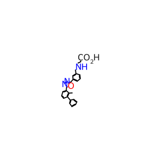 Cc1c(-c2ccccc2)cccc1-c1nnc(-c2cccc(CNCCC(=O)O)c2)o1